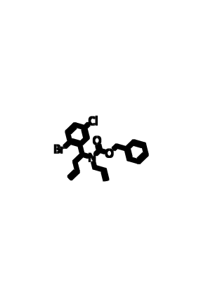 C=CCC(c1cc(Cl)ccc1Br)N(CC=C)C(=O)OCc1ccccc1